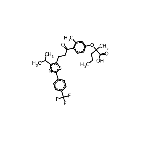 CCCC(C)(Oc1ccc(C(=O)CCc2sc(-c3ccc(C(F)(F)F)cc3)nc2C(C)C)c(C)c1)C(=O)O